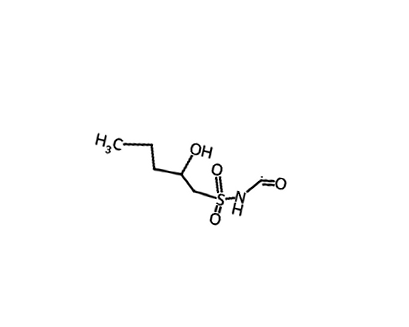 CCCC(O)CS(=O)(=O)N[C]=O